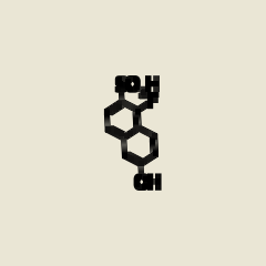 O=S(=O)(O)c1ccc2cc(O)ccc2c1F